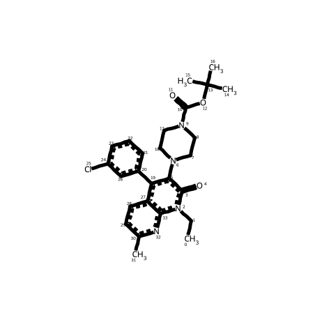 CCn1c(=O)c(N2CCN(C(=O)OC(C)(C)C)CC2)c(-c2cccc(Cl)c2)c2ccc(C)nc21